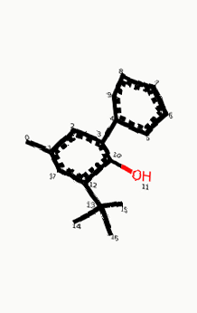 Cc1cc(-c2ccccc2)c(O)c(C(C)(C)C)c1